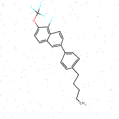 CCCCCc1ccc(-c2ccc3c(F)c(OC(F)(F)F)ccc3c2)cc1